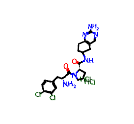 Cl.Cl.Nc1ncc2c(n1)CCC(NC(=O)[C@@H]1CCCN1C(=O)[C@H](N)Cc1ccc(Cl)c(Cl)c1)C2